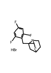 Br.Fc1cc(F)c(CC2CC3CCN2CC3)c(F)c1